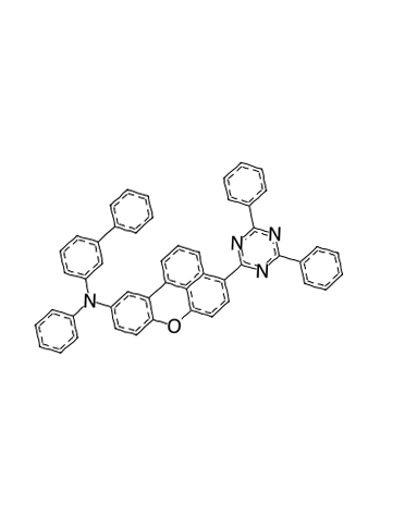 c1ccc(-c2cccc(N(c3ccccc3)c3ccc4c(c3)-c3cccc5c(-c6nc(-c7ccccc7)nc(-c7ccccc7)n6)ccc(c35)O4)c2)cc1